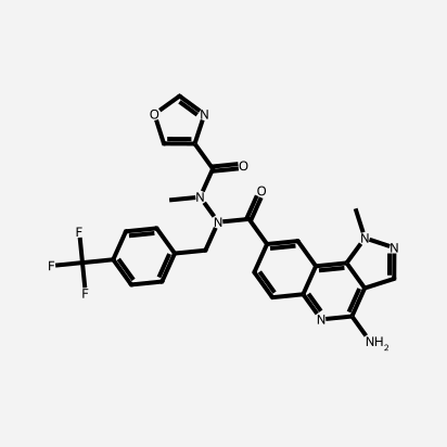 CN(C(=O)c1cocn1)N(Cc1ccc(C(F)(F)F)cc1)C(=O)c1ccc2nc(N)c3cnn(C)c3c2c1